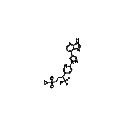 O=S(=O)(CCC(c1ccc(-n2cc(-c3ccnc4[nH]cnc34)cn2)nc1)C(F)(F)F)C1CC1